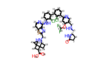 O=C1CC[C@@H](CNCc2cnc(-c3cccc(-c4cccc(Nc5nccc6sc(CNC7CCC78C(C(=O)O)CC87CC7)nc56)c4Cl)c3Cl)cc2OC(F)F)N1